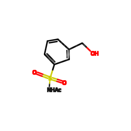 CC(=O)NS(=O)(=O)c1cccc(CO)c1